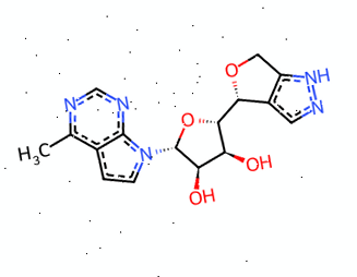 Cc1ncnc2c1ccn2[C@@H]1O[C@H]([C@@H]2OCc3[nH]ncc32)[C@@H](O)[C@H]1O